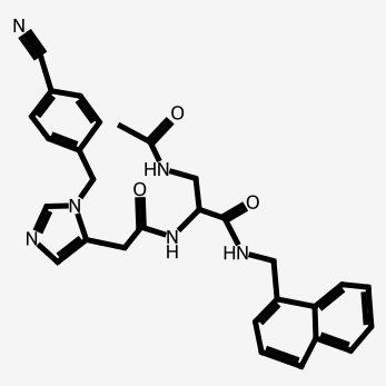 CC(=O)NCC(NC(=O)Cc1cncn1Cc1ccc(C#N)cc1)C(=O)NCc1cccc2ccccc12